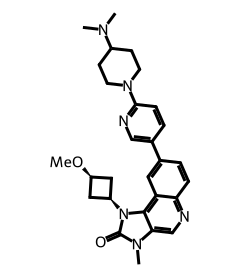 CO[C@H]1C[C@@H](n2c(=O)n(C)c3cnc4ccc(-c5ccc(N6CCC(N(C)C)CC6)nc5)cc4c32)C1